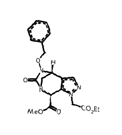 CCOC(=O)Cn1ncc2c1[C@@H](C(=O)OC)N1C[C@@H]2N(OCc2ccccc2)C1=O